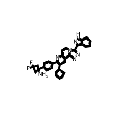 NC1(c2ccc(-c3nc4ccn5c(-c6n[nH]c7ccccc67)nnc5c4cc3-c3ccccc3)cc2)CC(F)(F)C1